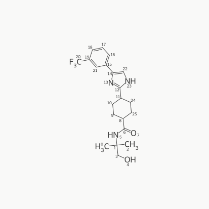 CC(C)(CO)NC(=O)C1CCC(c2nc(-c3cccc(C(F)(F)F)c3)c[nH]2)CC1